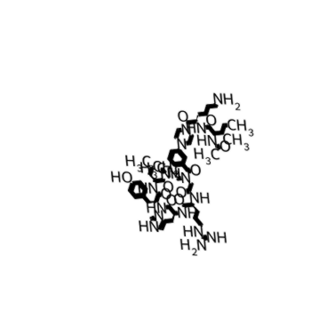 CC[C@H](C)[C@H](NC(C)=O)C(=O)N[C@@H](CCCCN)C(=O)N1CCN(c2ccc3ncn(CC(=O)N[C@@H](CCCNC(=N)N)C(=O)N[C@@H](Cc4c[nH]cn4)C(=O)N[C@@H](Cc4ccc(O)cc4)C(=O)N[C@@H](CC(C)C)C(=O)NC)c(=O)c3c2)CC1